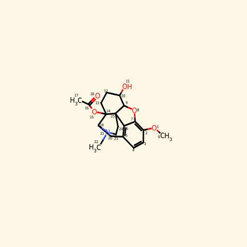 COc1ccc2c3c1OC1C(O)CCC4(OC(C)=O)C(C2)N(C)CCC314